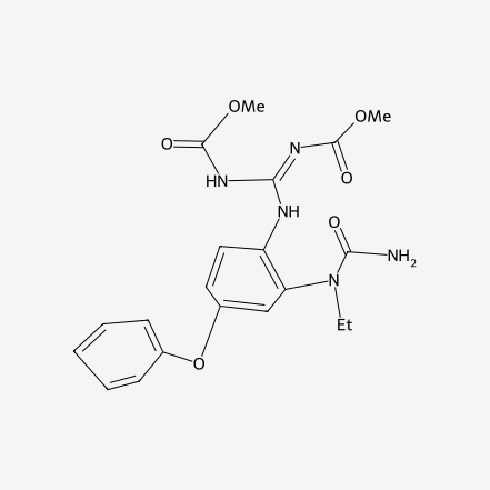 CCN(C(N)=O)c1cc(Oc2ccccc2)ccc1NC(=NC(=O)OC)NC(=O)OC